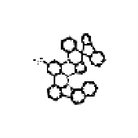 Cc1cc2c3c(c1)N1c4ccccc4C4(c5ccccc5-c5ccccc54)c4cccc(c41)B3n1c3c-2cccc3c2ccc3ccccc3c21